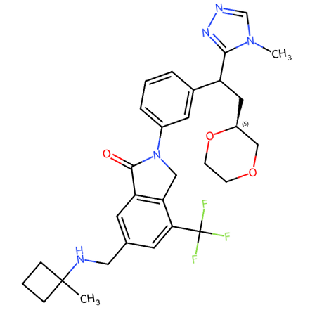 Cn1cnnc1C(C[C@H]1COCCO1)c1cccc(N2Cc3c(cc(CNC4(C)CCC4)cc3C(F)(F)F)C2=O)c1